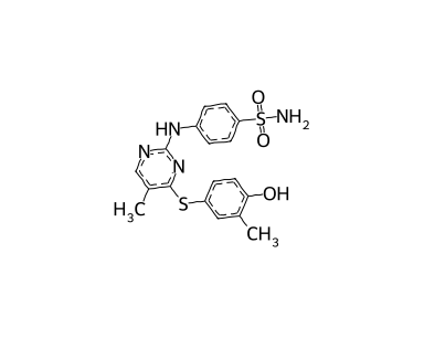 Cc1cc(Sc2nc(Nc3ccc(S(N)(=O)=O)cc3)ncc2C)ccc1O